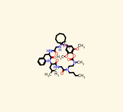 CCCCN(CCN(C)C(=O)Oc1c(OC)cc(C)cc1OC)C(=O)CNC(=O)C(CC(C)C)NC(=O)C(Cc1ccccc1)NC(=O)CNC1(P)CCCCCCC1